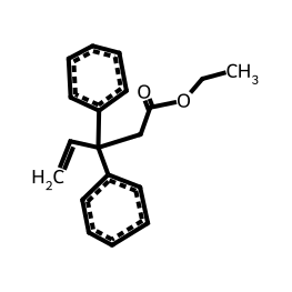 C=CC(CC(=O)OCC)(c1ccccc1)c1ccccc1